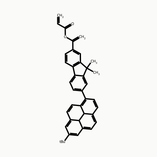 C=CC(=O)OC(=C)c1ccc2c(c1)C(C)(C)c1cc(C3=C4C=CC5=CC(C(C)(C)C)=CC6=CC=C(C=C3)C4C65)ccc1-2